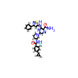 NC(=O)c1ncc(N2CCC[C@@H](NC(=O)c3ccc(C4CC4)cc3F)C2)nc1Nc1cc(-c2ccccc2)ns1